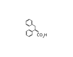 O=C(O)C=C(Cc1ccccc1)c1ccccc1